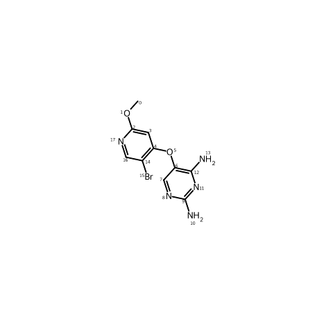 COc1cc(Oc2cnc(N)nc2N)c(Br)cn1